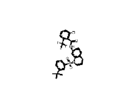 CC(C)(C)c1cccc(S(=O)(=O)N2C=C=Cc3ccc(NC(=O)c4c(Cl)cccc4C(F)(F)F)cc32)c1